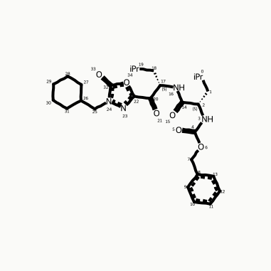 CC(C)C[C@H](NC(=O)OCc1ccccc1)C(=O)N[C@@H](CC(C)C)C(=O)c1nn(CC2CCCCC2)c(=O)o1